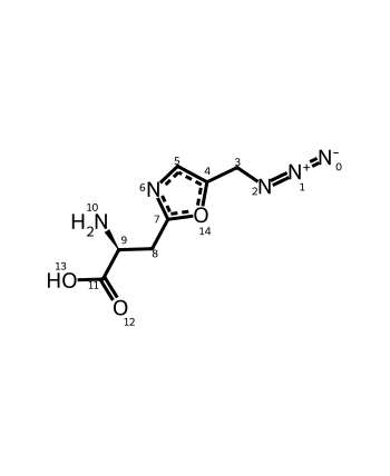 [N-]=[N+]=NCc1cnc(C[C@H](N)C(=O)O)o1